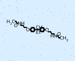 C=CC(=O)NCCCCOc1ccc(C(C)(CC)c2ccc(OCCCCNC(=O)C=C)cc2)cc1